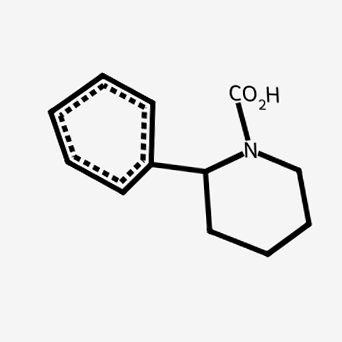 O=C(O)N1CCCCC1c1ccccc1